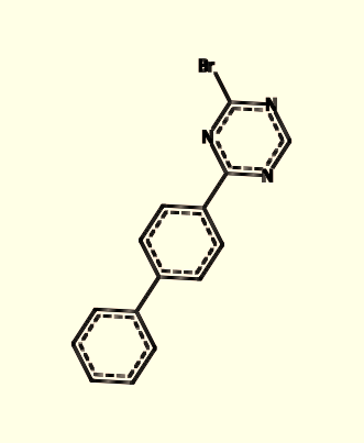 Brc1ncnc(-c2ccc(-c3ccccc3)cc2)n1